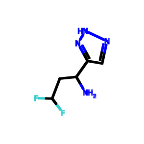 NC(CC(F)F)c1cn[nH]n1